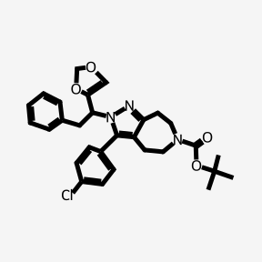 CC(C)(C)OC(=O)N1CCc2nn(C(Cc3ccccc3)C3=COCO3)c(-c3ccc(Cl)cc3)c2CC1